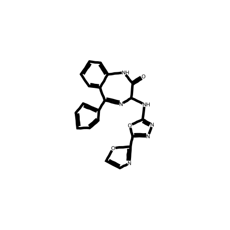 O=C1Nc2ccccc2C(c2ccccc2)=NC1Nc1nnc(-c2ncco2)o1